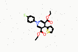 CCOC(=O)C1=CN(c2ccc(F)cc2)C=C(C(=O)OCC)C1c1cccs1